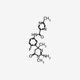 Cc1cnc(C(=O)Nc2ccc(F)c(C3(C)CC(=O)N(C)C(N)=N3)c2)cn1